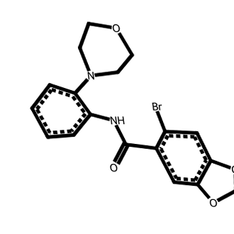 O=C(Nc1ccccc1N1CCOCC1)c1cc2c(cc1Br)OCO2